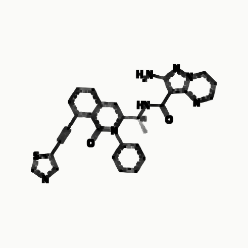 C[C@@H](NC(=O)c1c(N)nn2cccnc12)c1cc2cccc(C#Cc3cncs3)c2c(=O)n1-c1ccccc1